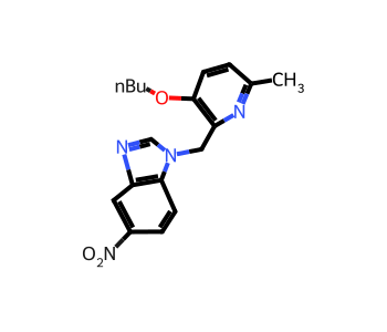 CCCCOc1ccc(C)nc1Cn1cnc2cc([N+](=O)[O-])ccc21